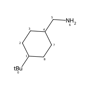 CC(C)(C)C1CCC(CN)CC1